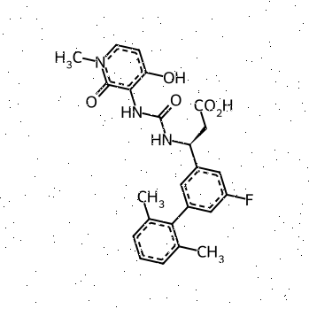 Cc1cccc(C)c1-c1cc(F)cc([C@H](CC(=O)O)NC(=O)Nc2c(O)ccn(C)c2=O)c1